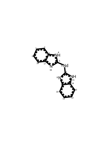 c1ccc2[nH][c]([Nd][c]3nc4ccccc4[nH]3)nc2c1